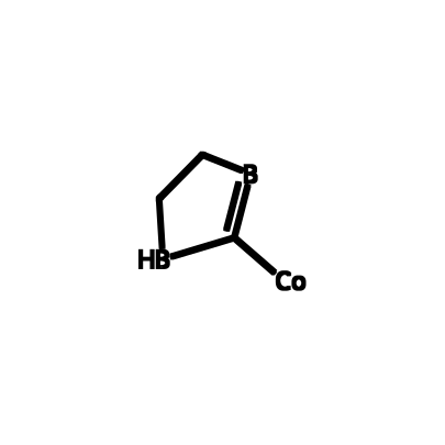 [Co][C]1=BCCB1